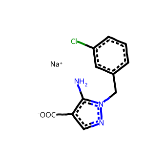 Nc1c(C(=O)[O-])cnn1Cc1cccc(Cl)c1.[Na+]